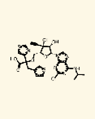 C#C[C@@]1(O)[C@@H](COC(Cc2ccsc2)(C(=O)O)c2cscn2)O[C@@H](n2cnc3c(NC(C)C)nc(Cl)nc32)[C@@H]1O